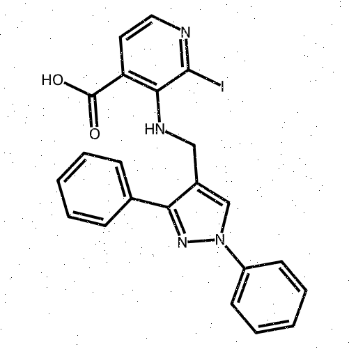 O=C(O)c1ccnc(I)c1NCc1cn(-c2ccccc2)nc1-c1ccccc1